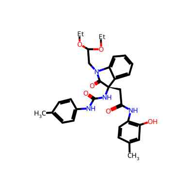 CCOC(CN1C(=O)[C@@](CC(=O)Nc2ccc(C)cc2O)(NC(=O)Nc2ccc(C)cc2)c2ccccc21)OCC